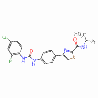 CC(C)C(NC(=O)c1nc(-c2ccc(NC(=O)Nc3ccc(Cl)cc3F)cc2)cs1)C(=O)O